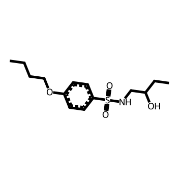 CCCCOc1ccc(S(=O)(=O)NCC(O)CC)cc1